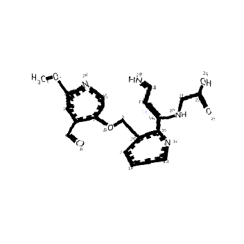 COc1cc(C=O)c(OCc2cccnc2/C(=C/C=N)NCC(=O)O)cn1